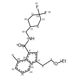 CCOCCc1cc(C(=O)NCC2CCC(F)(F)CC2)c2c(C)cccn12